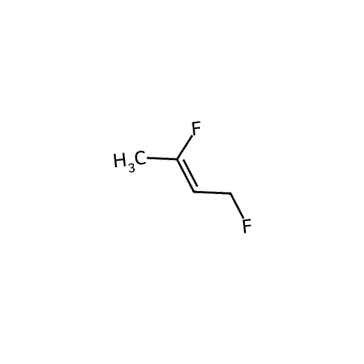 CC(F)=CCF